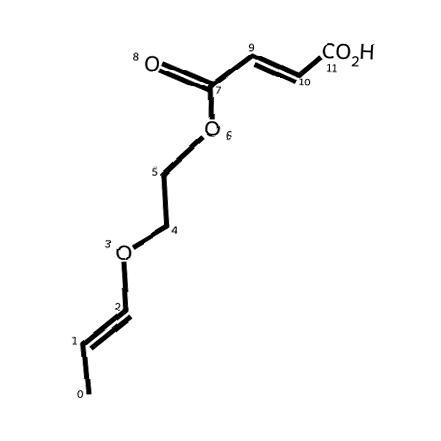 CC=COCCOC(=O)C=CC(=O)O